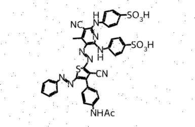 CC(=O)Nc1ccc(-c2c(N=Nc3ccccc3)sc(/N=N/c3c(Nc4ccc(S(=O)(=O)O)cc4)nc(Nc4ccc(S(=O)(=O)O)cc4)c(C#N)c3C)c2C#N)cc1